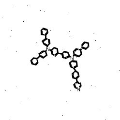 C1=CCC(C2=CCC(N(C3=CC=C(C4=CC=C(N(C5=CCC(C6=CCCC=C6)C=C5)c5ccc(C6C=CC(c7ccncc7)=CC6)cc5)CC4)CC3)c3ccc(-c4ccccc4)cc3)C=C2)C=C1